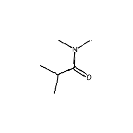 [CH2]N(C)C(=O)C(C)C